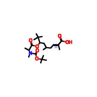 C/C(=C\CC(C)CC(OC(=O)C(C)N(C)C(=O)OC(C)(C)C)C(C)(C)C)C(=O)O